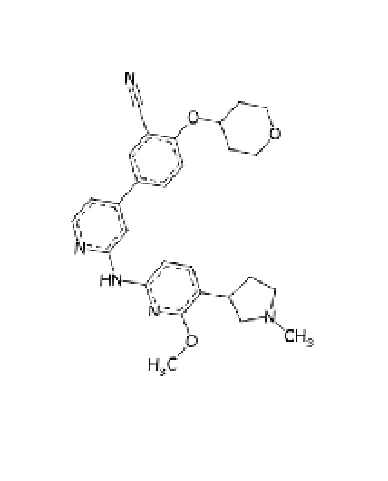 COc1nc(Nc2cc(-c3ccc(OC4CCOCC4)c(C#N)c3)ccn2)ccc1C1CCN(C)C1